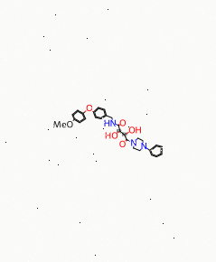 COc1ccc(Oc2ccc(CNC(=O)[C@H](O)[C@@H](O)C(=O)N3CCN(c4ccccc4)CC3)cc2)cc1